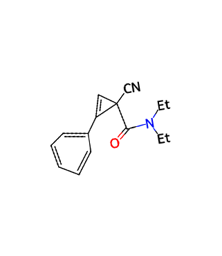 CCN(CC)C(=O)C1(C#N)C=C1c1ccccc1